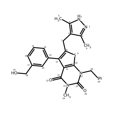 Cc1n[nH]c(C)c1Cc1sc2c(c1-c1cccc(CO)c1)c(=O)n(C)c(=O)n2CC(C)C